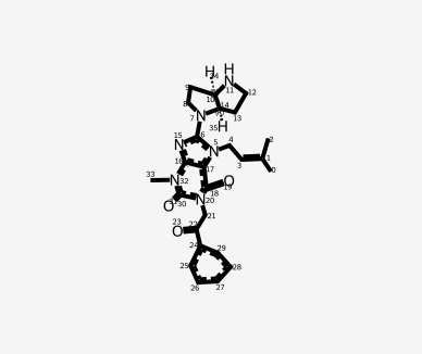 CC(C)=CCn1c(N2CC[C@H]3NCC[C@H]32)nc2c1c(=O)n(CC(=O)c1ccccc1)c(=O)n2C